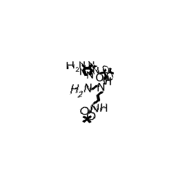 CC(C)(C)OC(=O)NCCCCN(CCN)C[C@H]1OC(n2cnc3c(N)ncnc32)=C2OC(C)(C)O[C@@H]21